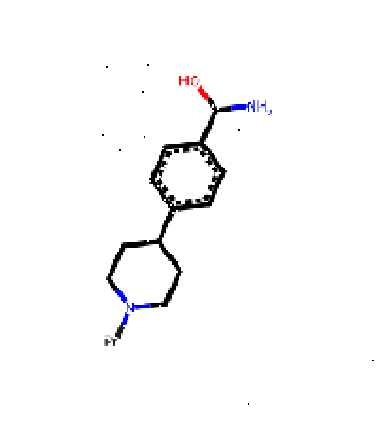 CC(C)N1CCC(c2ccc(C(N)O)cc2)CC1